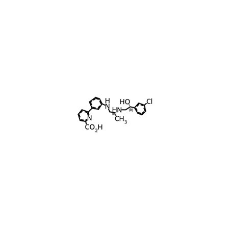 C[C@H](CNc1cccc(-c2cccc(C(=O)O)n2)c1)NC[C@H](O)c1cccc(Cl)c1